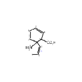 C/C=C\C1(N)C=CC=CC1C(=O)O